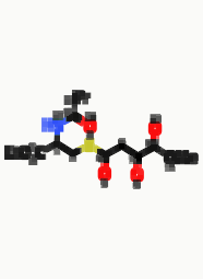 CCOC(=O)C(CSC(=O)CC(=O)C(=O)OC)NC(=O)C(C)C